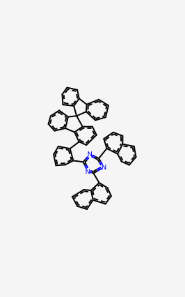 c1ccc(-c2cccc3c2-c2ccccc2C32c3ccccc3-c3ccccc32)c(-c2nc(-c3cccc4ccccc34)nc(-c3cccc4ccccc34)n2)c1